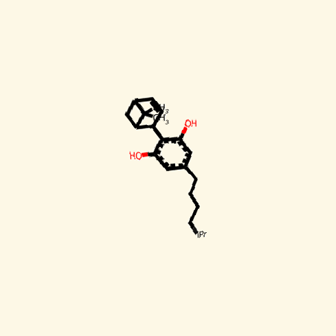 CC(C)CCCCc1cc(O)c(C2C=CC3CC2C3(C)C)c(O)c1